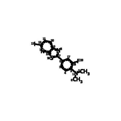 CN(C)c1ccc(-c2nc3ccc(I)nc3s2)cc1F